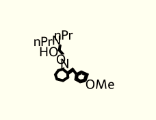 CCCN(CCC)C[C@H](O)CO/N=C1\CCCCC\C1=C/c1ccc(OC)cc1